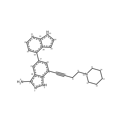 Nc1n[nH]c2c(C#CCCN3CCCCC3)cc(-c3ccnc4[nH]ccc34)cc12